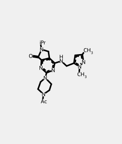 CC(=O)N1CCN(c2nc(NCc3cc(C)nn3C)c3c(n2)C(=O)N(C(C)C)C3)CC1